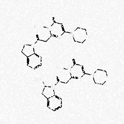 C[C@@H]1Cc2ccccc2N1C(=O)Cc1nc(N2CCOCC2)cc(=S)n1C.C[C@H]1Cc2ccccc2N1C(=O)Cc1nc(N2CCOCC2)cc(=S)n1C